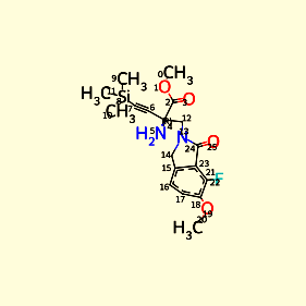 COC(=O)[C@@](N)(C#C[Si](C)(C)C)CN1Cc2ccc(OC)c(F)c2C1=O